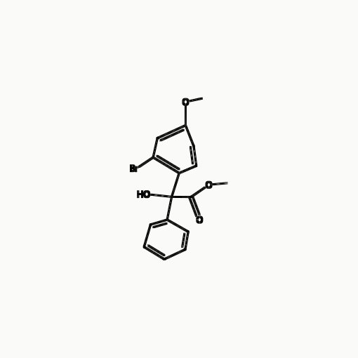 COC(=O)C(O)(c1ccccc1)c1ccc(OC)cc1Br